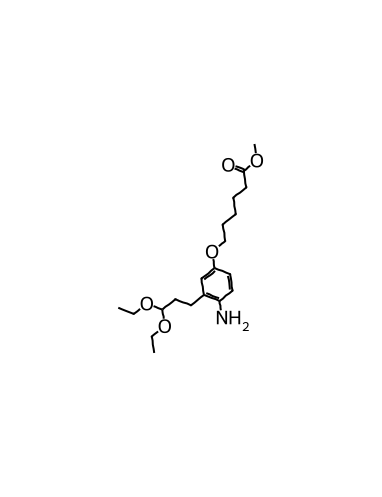 CCOC(CCc1cc(OCCCCCC(=O)OC)ccc1N)OCC